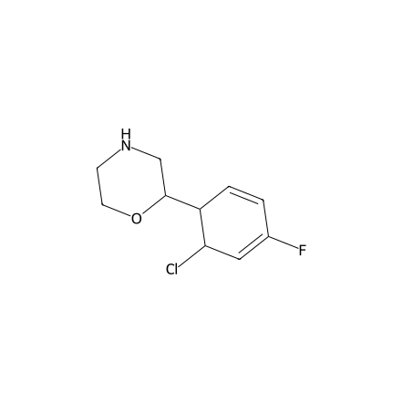 FC1=CC(Cl)C(C2CNCCO2)C=C1